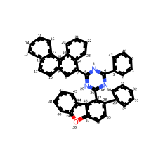 c1ccc(-c2nc(-c3cc4ccc5ccccc5c4c4ccccc34)nc(-c3c(-c4ccccc4)ccc4oc5ccccc5c34)n2)cc1